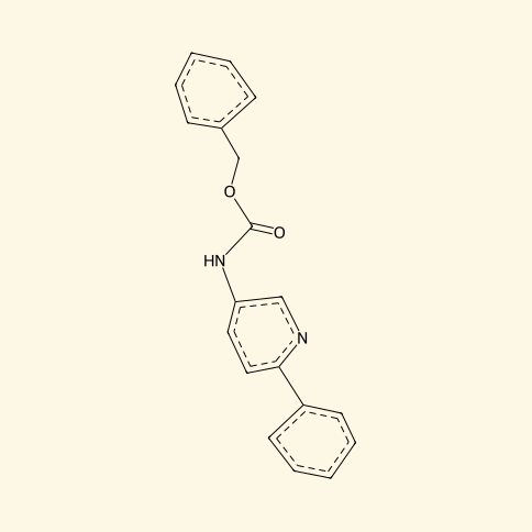 O=C(Nc1ccc(-c2ccccc2)nc1)OCc1ccccc1